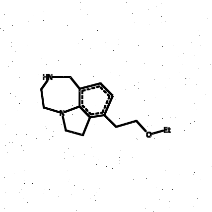 CCOCCc1ccc2c3c1CCN3CCNC2